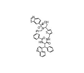 CC(C)CN(C(CO)c1ccc(CNC(=O)C(NC(=O)c2ccccc2)C(c2ccccc2)c2ccnc3ccccc23)s1)S(=O)(=O)c1ccc2ncsc2c1